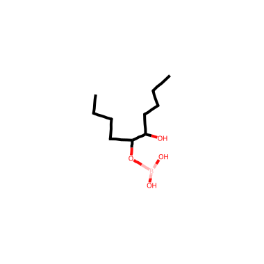 CCCCC(O)C(CCCC)OB(O)O